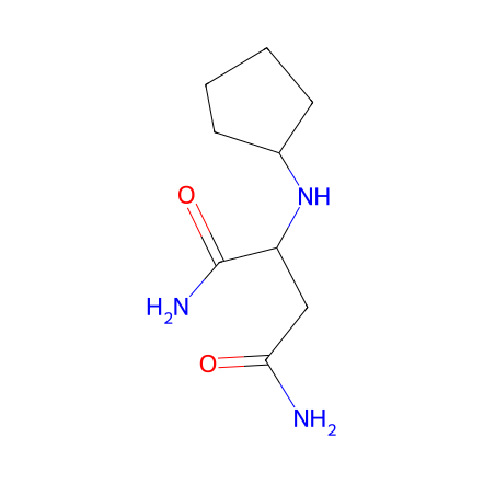 NC(=O)CC(NC1CCCC1)C(N)=O